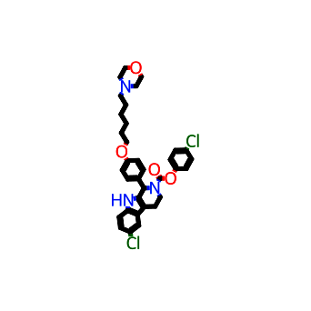 O=C(Oc1ccc(Cl)cc1)N1CCc2c([nH]c3ccc(Cl)cc23)C1c1ccc(OCCCCCCN2CCOCC2)cc1